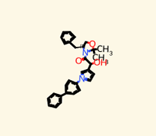 CC1(C)OC[C@H](Cc2ccccc2)N1C(=O)C(O)c1ccn(-c2ccc(-c3ccccc3)cc2)c1